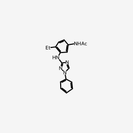 CCc1ccc(NC(C)=O)cc1Nc1ncn(-c2ccccc2)n1